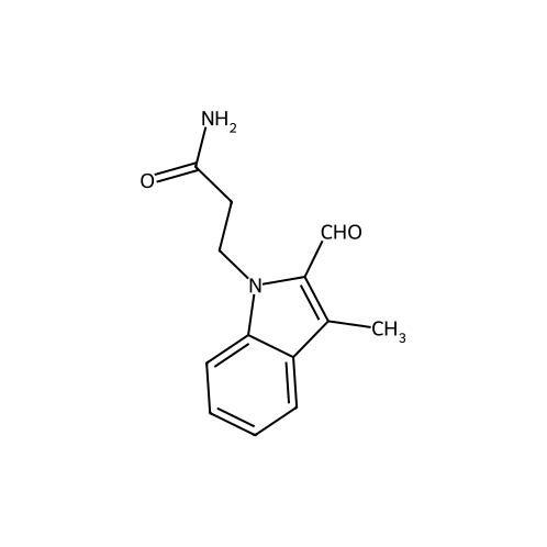 Cc1c(C=O)n(CCC(N)=O)c2ccccc12